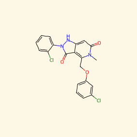 Cn1c(COc2cccc(Cl)c2)c2c(=O)n(-c3ccccc3Cl)[nH]c2cc1=O